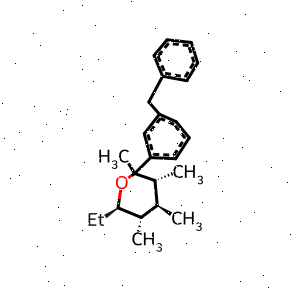 CC[C@H]1OC(C)(c2cccc(Cc3ccccc3)c2)[C@H](C)[C@@H](C)[C@@H]1C